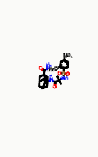 COc1cc([N+](=O)[O-])ccc1S(=O)(=O)NC(C)(C)C(=O)NC12CC3CC(C1)CC(C(N)=O)(C3)C2